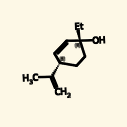 C=C(C)[C@@H]1C=C[C@@](O)(CC)CC1